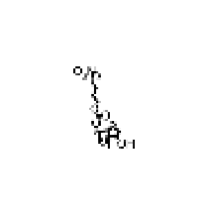 O=C(OCCCCO[N+](=O)[O-])O[C@@H]1CO[C@H]2C1OC[C@H]2O